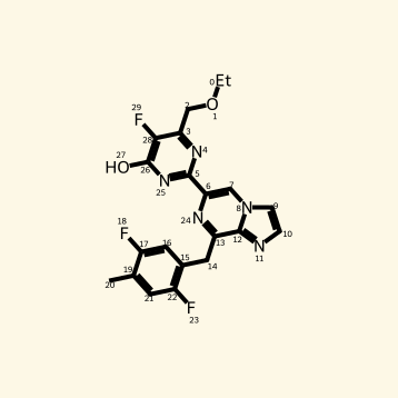 CCOCc1nc(-c2cn3ccnc3c(Cc3cc(F)c(C)cc3F)n2)nc(O)c1F